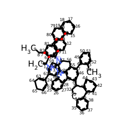 C=C(/N=C(\N=C(/CCCC)c1ccc(-c2ccccc2)cc1)n1c2ccccc2c2c(C3CCc4ccccc4-c4ccccc43)cc(-c3ccccc3C)c(CCc3ccc(C4=CCCC=C4)cc3)c21)c1ccc(-c2ccccc2)cc1